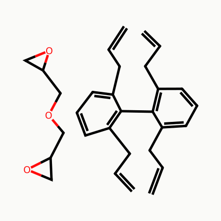 C(OCC1CO1)C1CO1.C=CCc1cccc(CC=C)c1-c1c(CC=C)cccc1CC=C